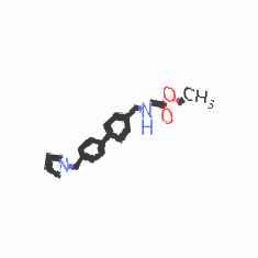 CCOC(=O)CNCc1ccc(-c2ccc(CN3CCCC3)cc2)cc1